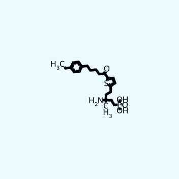 CCc1ccc(CCCCC(=O)c2ccc(CCC(C)(N)CCP(=O)(O)O)s2)cc1